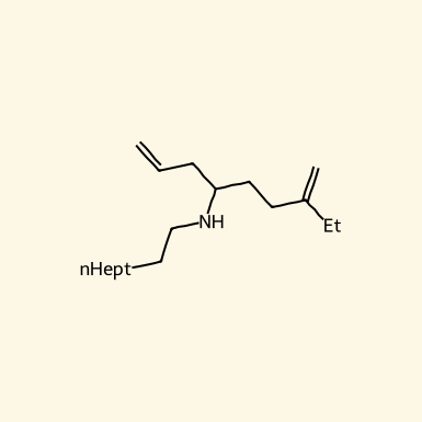 C=CCC(CCC(=C)CC)NCCCCCCCCC